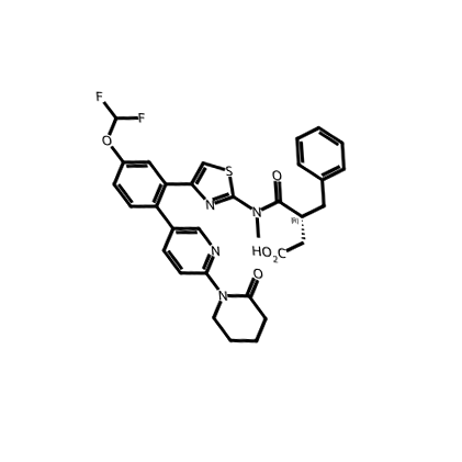 CN(C(=O)[C@@H](CC(=O)O)Cc1ccccc1)c1nc(-c2cc(OC(F)F)ccc2-c2ccc(N3CCCCC3=O)nc2)cs1